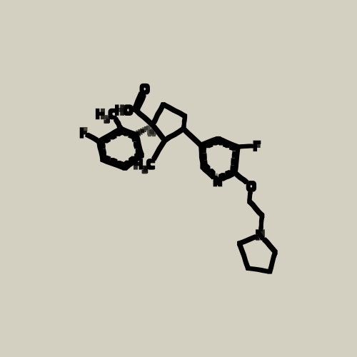 Cc1c(F)cccc1[C@]1(C(=O)O)CCC(c2cnc(OCCN3CCCC3)c(F)c2)C1C